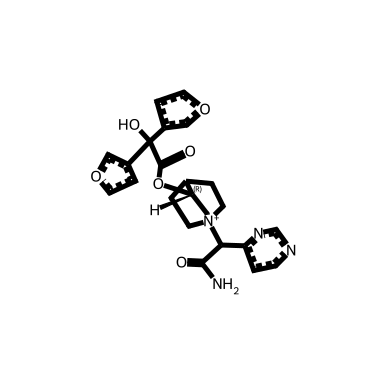 NC(=O)C(c1ccncn1)[N+]12CCC(CC1)[C@@H](OC(=O)C(O)(c1ccoc1)c1ccoc1)C2